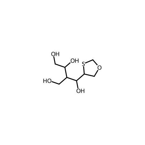 OCC(O)C(CO)C(O)C1COCS1